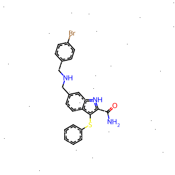 NC(=O)c1[nH]c2cc(CNCc3ccc(Br)cc3)ccc2c1Sc1ccccc1